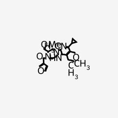 COCC1CN(C2(C)N=C(C3CC3)C3=C(CC(C)(C)OC3)C2=N)CCN1C(=O)c1ccoc1